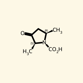 C[C@@H]1CC(=O)[C@H](C)N1C(=O)O